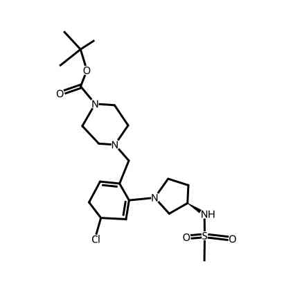 CC(C)(C)OC(=O)N1CCN(CC2=CCC(Cl)C=C2N2CC[C@@H](NS(C)(=O)=O)C2)CC1